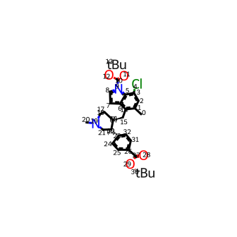 Cc1cc(Cl)c2c(ccn2C(=O)OC(C)(C)C)c1C[C@@H]1CCN(C)C[C@H]1c1ccc(C(=O)OC(C)(C)C)cc1